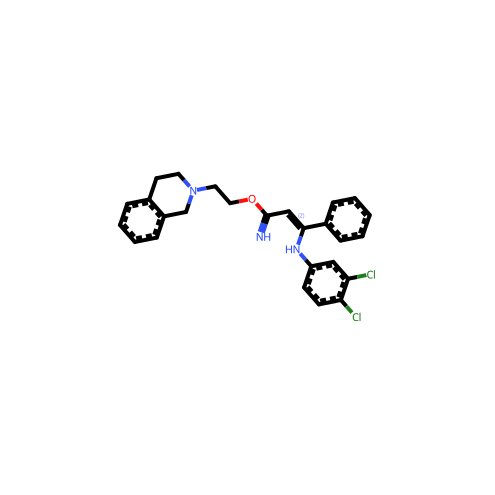 N=C(/C=C(\Nc1ccc(Cl)c(Cl)c1)c1ccccc1)OCCN1CCc2ccccc2C1